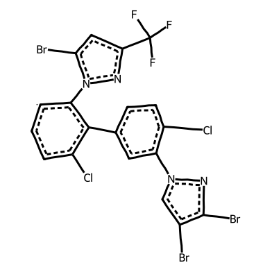 FC(F)(F)c1cc(Br)n(-c2[c]ccc(Cl)c2-c2ccc(Cl)c(-n3cc(Br)c(Br)n3)c2)n1